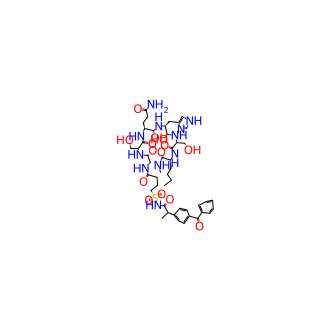 CCCC[C@H](NC(=O)C(CO)NC(O)[C@H](Cc1c[nH]cn1)NC(O)[C@H](CCC(N)=O)NC(=O)C(CO)NC(=O)CNC(=O)CCCS(=O)(=O)NC(=O)C(C)c1ccc(C(=O)c2ccccc2)cc1)C(=O)NC